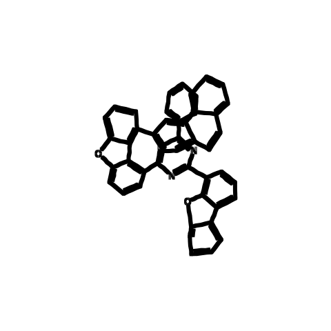 c1ccc(-c2nc(-c3cccc4c3oc3ccccc34)nc(-c3cccc4oc5cccc(-c6ccc7ccc8ccccc8c7c6)c5c34)n2)cc1